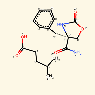 CC(C)CCC(=O)O.NC(=O)[C@]1(Cc2ccccc2)COC(=O)N1